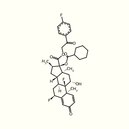 C[C@@H]1C[C@H]2[C@@H]3C[C@H](F)C4=CC(=O)C=C[C@]4(C)[C@@]3(F)[C@@H](O)C[C@]2(C)[C@@]1(OC(=O)C1CCCCC1)C(=O)OCC(=O)c1ccc(F)cc1